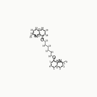 Cc1ccc2cccc(OCCCCCCOc3cccc4ccc(C)nc34)c2n1